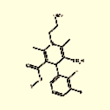 COCCN1C(C)=C(C(=O)O)C(c2cccc(F)c2F)C(C(=O)OC(C)C)=C1C